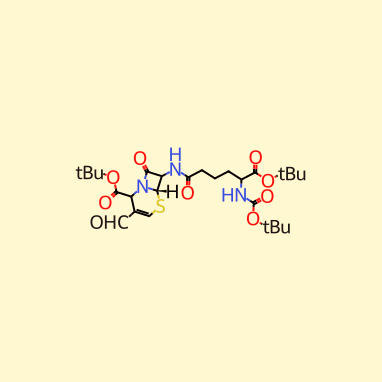 CC(C)(C)OC(=O)NC(CCCC(=O)NC1C(=O)N2C(C(=O)OC(C)(C)C)C(C=O)=CS[C@@H]12)C(=O)OC(C)(C)C